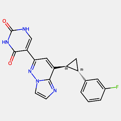 O=c1[nH]cc(-c2cc([C@H]3C[C@@H]3c3cccc(F)c3)c3nccn3n2)c(=O)[nH]1